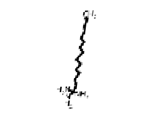 C=CCCCCCCCCCCCCC(N)(N)N